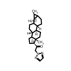 C[C@@H]1C2[C@@H]3CC[C@@H]4[C@H](CC[C@]5(C)[C@@H](C(=O)Cn6nccn6)CC[C@@H]45)[C@H]3CC[C@@]21O